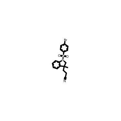 CC1(CCC#N)CN(S(=O)(=O)c2ccc(Br)cc2)c2ccccc21